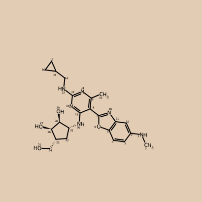 CNc1ccc2oc(-c3c(C)nc(NCC4CC4)nc3N[C@@H]3C[C@H](CO)[C@@H](O)[C@H]3O)nc2c1